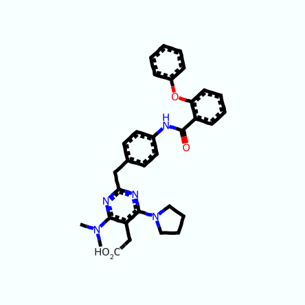 CN(C)c1nc(Cc2ccc(NC(=O)c3ccccc3Oc3ccccc3)cc2)nc(N2CCCC2)c1CC(=O)O